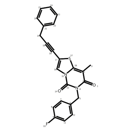 Cc1c(=O)n(Cc2ccc(F)cc2)c(=O)n2cc(C#CCc3ccccc3)sc12